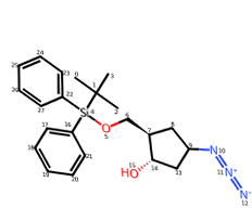 CC(C)(C)[Si](OC[C@H]1CC(N=[N+]=[N-])C[C@@H]1O)(c1ccccc1)c1ccccc1